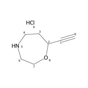 C#CC1CCNCCO1.Cl